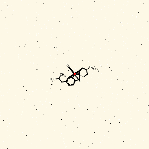 CO[C@H]1CC[C@]2(CC1)Cc1ccc(CC(C)C)cc1C21NC(=O)NC1=O